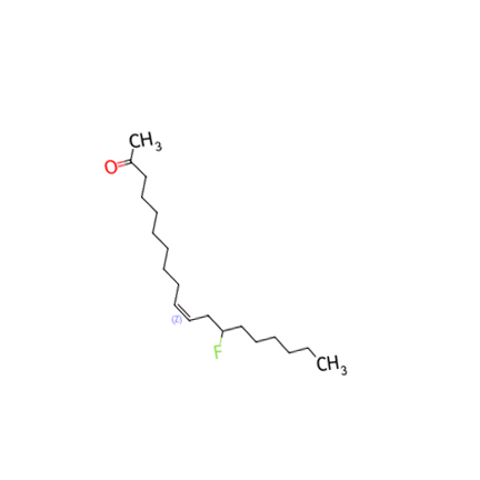 CCCCCCC(F)C/C=C\CCCCCCCC(C)=O